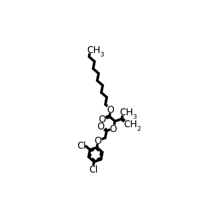 C=C(C)C(OC(=O)COc1ccc(Cl)cc1Cl)C(=O)OCCCCCCCCCC